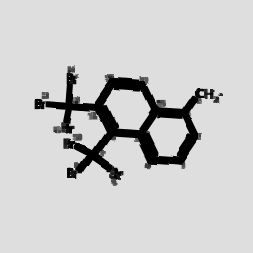 [CH2]c1cccc2c(C(Br)(Br)Br)c(C(Br)(Br)Br)ccc12